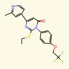 CCSc1nc(-c2ccnc(C)c2)cc(=O)n1-c1ccc(OCC(F)(F)F)cc1